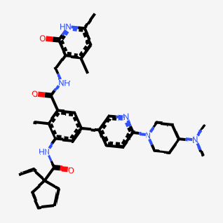 CCC1(C(=O)Nc2cc(-c3ccc(N4CCC(N(C)C)CC4)nc3)cc(C(=O)NCc3c(C)cc(C)[nH]c3=O)c2C)CCCC1